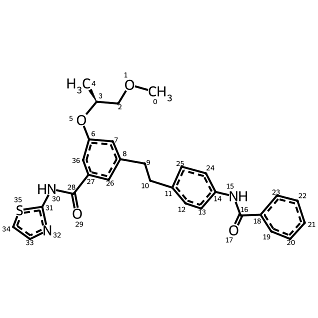 COC[C@H](C)Oc1cc(CCc2ccc(NC(=O)c3ccccc3)cc2)cc(C(=O)Nc2nccs2)c1